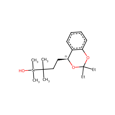 CCC1(CC)Oc2ccccc2[C@H](CCC(C)(C)[Si](C)(C)O)O1